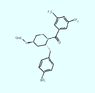 O=CO[C@H]1CCN(C(=O)c2cc(C(F)(F)F)cc(C(F)(F)F)c2)[C@H](Cc2ccc([N+](=O)[O-])cc2)C1